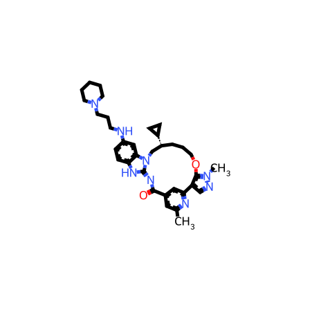 Cc1cc2cc(n1)-c1cnn(C)c1OCCC[C@@H](C1CC1)CN1/C(=N/C2=O)Nc2ccc(NCCCN3CCCCC3)cc21